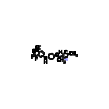 C=C(C)/C=C\C=C(/C)O[C@H]1CC[C@H](Nc2ccc([N+](=O)[O-])c(C(F)(F)F)c2)CC1